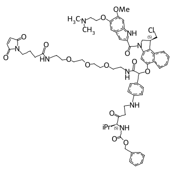 COc1cc2[nH]c(C(=O)N3C[C@@H](CCl)c4c3cc(OC(C(=O)NCCOCCOCCOCCNC(=O)CCCN3C(=O)C=CC3=O)c3ccc(NCCC(=O)[C@@H](NC(=O)OCc5ccccc5)C(C)C)cc3)c3ccccc43)cc2cc1OCCN(C)C